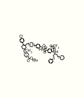 CC1(CN2CCN(C(=O)OC(C)(C)C)CC2)CCC(c2ccc(Cl)cc2)=C(CN2CCN(c3ccc(C(=O)NS(=O)(=O)c4ccc(NC(CCN5CCCCC5)CSc5ccccc5)c(S(=O)(=O)C(F)(F)F)c4)cc3)CC2)C1